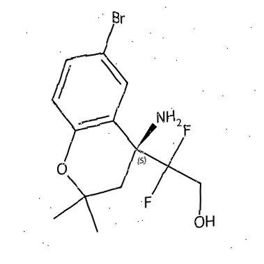 CC1(C)C[C@@](N)(C(F)(F)CO)c2cc(Br)ccc2O1